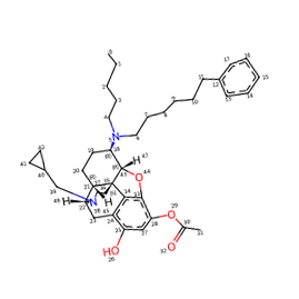 CCCCCN(CCCCCCc1ccccc1)[C@@H]1CC[C@H]2[C@H]3Cc4c(O)cc(OC(C)=O)c5c4[C@@]2(CCN3CC2CC2)[C@H]1O5